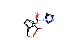 O=C1OC2C3CC(CC13)C2OC(=O)n1ccnc1